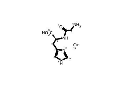 NCC(=O)N[C@@H](Cc1c[nH]cn1)C(=O)O.[Cu]